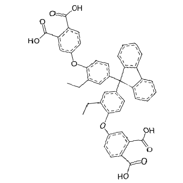 CCc1cc(C2(c3ccc(Oc4ccc(C(=O)O)c(C(=O)O)c4)c(CC)c3)c3ccccc3-c3ccccc32)ccc1Oc1ccc(C(=O)O)c(C(=O)O)c1